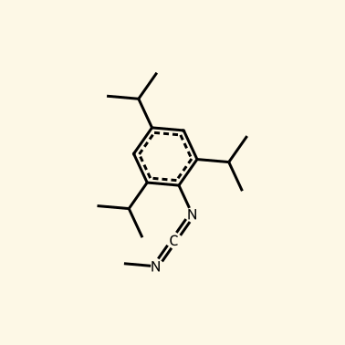 CN=C=Nc1c(C(C)C)cc(C(C)C)cc1C(C)C